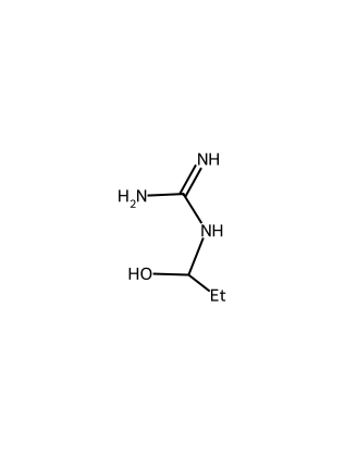 CCC(O)NC(=N)N